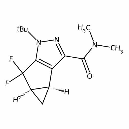 CN(C)C(=O)c1nn(C(C)(C)C)c2c1[C@H]1C[C@H]1C2(F)F